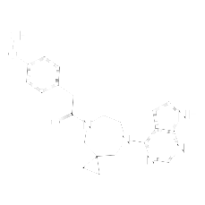 O=C(Cc1ccc(OC(F)(F)F)cc1)N1CCN(c2ncnc3[nH]ccc23)CC2(CC2)C1